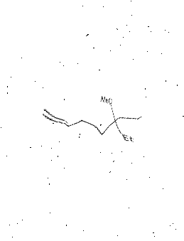 C=CCCC(C)(CC)OC